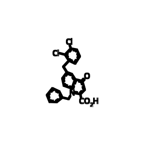 O=C(O)c1cc(=O)c2cc(Cc3cccc(Cl)c3Cl)ccc2n1Cc1ccccc1